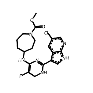 COC(=O)N1CCCC(NC2=C(F)CNC(c3c[nH]c4ncc(Cl)cc34)=N2)CC1